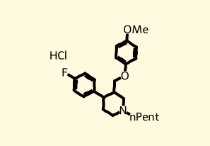 CCCCCN1CCC(c2ccc(F)cc2)C(COc2ccc(OC)cc2)C1.Cl